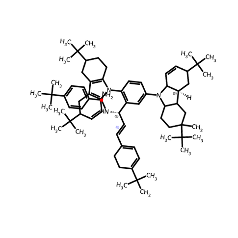 CC(C)(C)C1=CC=C(/C=C/[C@H](NC(N)c2ccc(C(C)(C)C)cc2)c2cc(N3C4CCC(C)(C(C)(C)C)CC4[C@@H]4CC(C(C)(C)C)C=CC43)ccc2-n2c3c(c4c2CCC(C(C)(C)C)C4)CC(C(C)(C)C)C=C3)CC1